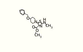 CCOC(=O)c1nc(NC)sc1N1CCC(OCc2ccccc2)CC1